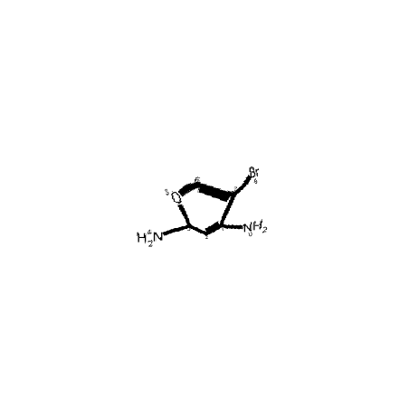 NC1=CC(N)OC=C1Br